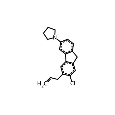 C=CCc1cc2c(cc1Cl)Cc1ccc(N3CCCC3)cc1-2